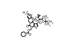 Cn1cc(Cn2c(=O)c3c(S(=O)(=O)N(C(=O)OC(C)(C)C)C4(C)CC4)csc3n(COC(=O)N3CCCCC3)c2=O)cn1